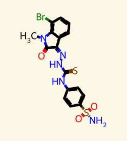 CN1C(=O)C(=NNC(=S)Nc2ccc(S(N)(=O)=O)cc2)c2cccc(Br)c21